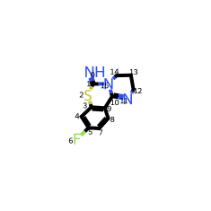 N=C1Sc2cc(F)ccc2C2=NCCCN12